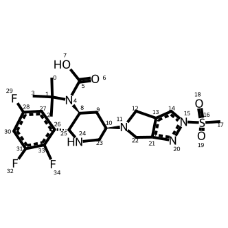 CC(C)(C)N(C(=O)O)[C@H]1C[C@@H](N2Cc3cn(S(C)(=O)=O)nc3C2)CN[C@@H]1c1cc(F)cc(F)c1F